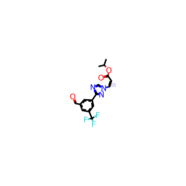 CC(C)OC(=O)/C=C\n1cnc(-c2cc(C=O)cc(C(F)(F)F)c2)n1